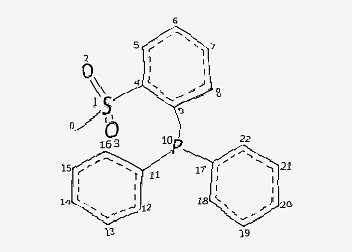 CS(=O)(=O)c1ccccc1P(c1ccccc1)c1ccccc1